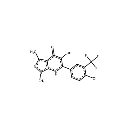 Cc1nn(C)c2[nH]c(-c3ccc(Cl)c(C(F)(F)F)c3)c(O)c(=O)c12